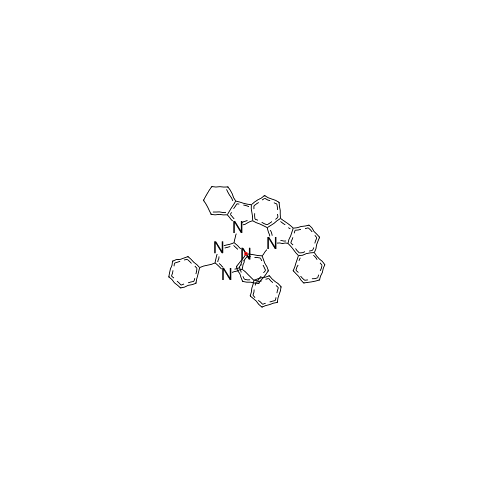 C1=c2c(n(-c3nc(-c4ccccc4)nc(-c4ccccc4)n3)c3c2ccc2c4ccc5ccccc5c4n(-c4ccccc4)c23)=CCC1